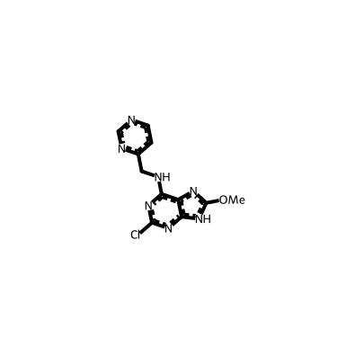 COc1nc2c(NCc3ccncn3)nc(Cl)nc2[nH]1